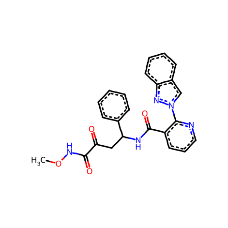 CONC(=O)C(=O)CC(NC(=O)c1cccnc1-n1cc2ccccc2n1)c1ccccc1